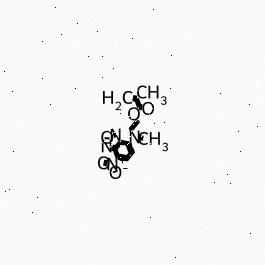 C=C(C)C(=O)OCCN(C)c1ccc([N+](=O)[O-])c2nonc12